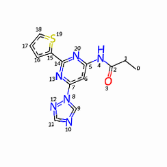 CCC(=O)Nc1cc(-n2cncn2)nc(-c2cccs2)n1